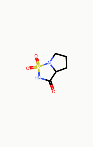 O=C1NS(=O)(=O)N2CCCC12